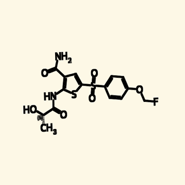 C[C@H](O)C(=O)Nc1sc(S(=O)(=O)c2ccc(OCF)cc2)cc1C(N)=O